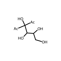 CC(=O)C(O)(C(C)=O)C(O)C(O)CO